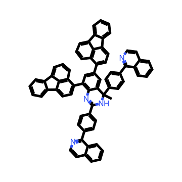 CC1(c2ccc(-c3nccc4ccccc34)cc2)NC(c2ccc(-c3nccc4ccccc34)cc2)=Nc2c(-c3ccc4c5c(cccc35)-c3ccccc3-4)cc(-c3ccc4c5c(cccc35)-c3ccccc3-4)cc21